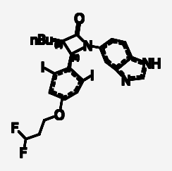 CCCC[C@H]1C(=O)N(c2ccc3[nH]cnc3c2)[C@H]1c1c(I)cc(OCCC(F)F)cc1I